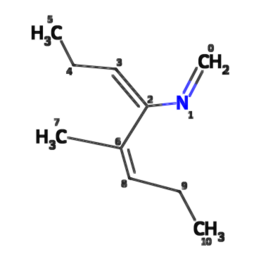 C=NC(=C/CC)/C(C)=C\CC